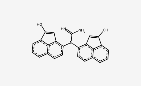 N=C(N)N(c1ccc2cccc3c2c1C=C3O)c1ccc2cccc3c2c1C=C3O